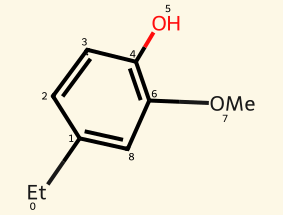 CCc1c[c]c(O)c(OC)c1